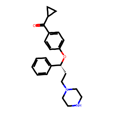 O=C(c1ccc(O[C@H](CCN2CCNCC2)c2ccccc2)cc1)C1CC1